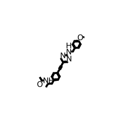 COc1ccc(CNc2ncc(C#Cc3ccc(CC(C)NC(C)=O)cc3)cn2)cc1